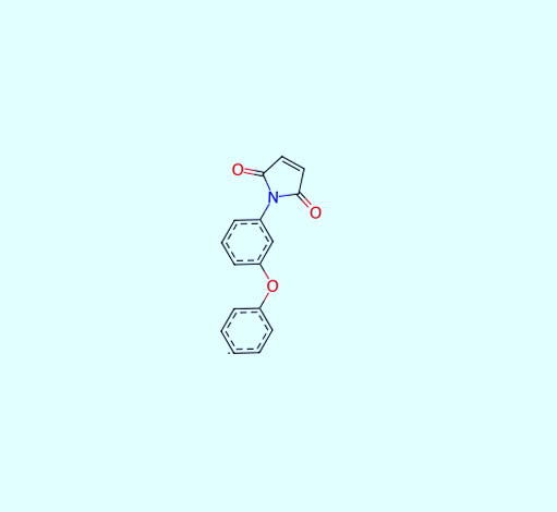 O=C1C=CC(=O)N1c1cccc(Oc2cc[c]cc2)c1